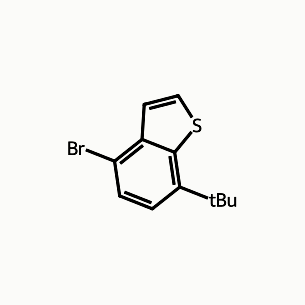 CC(C)(C)c1ccc(Br)c2ccsc12